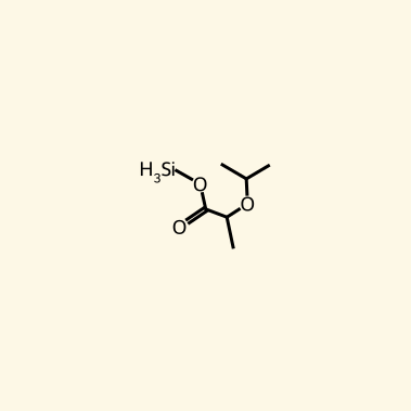 CC(C)OC(C)C(=O)O[SiH3]